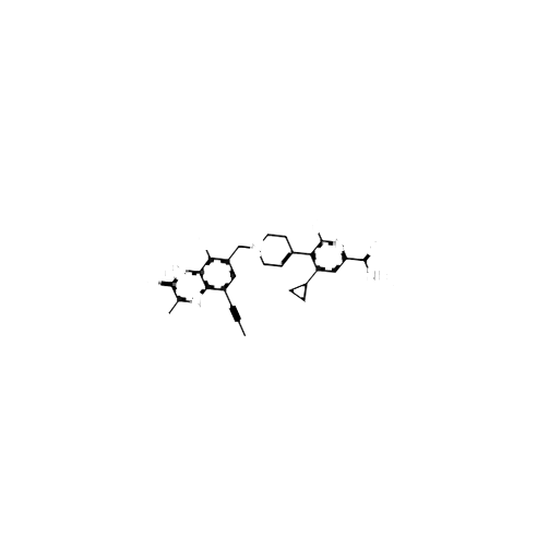 CC#Cc1cc(CN2CC=C(c3c(C4CC4)cc(C(N)=O)nc3F)CC2)c(F)c2[nH]c(=O)c(C)nc12